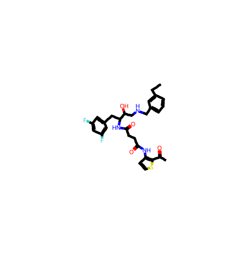 CCc1cccc(CNCC(O)C(Cc2cc(F)cc(F)c2)NC(=O)CCC(=O)Nc2ccsc2C(C)=O)c1